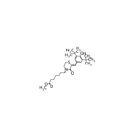 COC(=O)CCCCCCN1CCSC(=Cc2cc(C(C)(C)C)c(O)c(C(C)(C)C)c2)C1=O